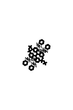 Cc1cc(C(c2cc(C)cc(-n3nc4ccccc4n3)c2O)C(c2cc(C(C)(C)CC(C)(C)C)cc(-n3nc4ccccc4n3)c2O)c2cc(C(C)(C)CC(C)(C)C)cc(-n3nc4ccccc4n3)c2O)c(O)c(-n2nc3ccccc3n2)c1